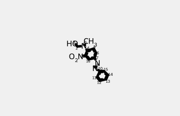 CN(CO)c1ccc(N=Nc2ccccc2)cc1[N+](=O)[O-]